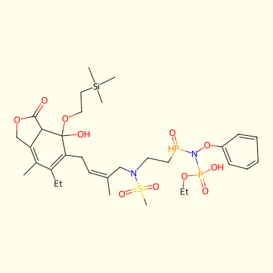 CCOP(=O)(O)N(Oc1ccccc1)[PH](=O)CCN(CC(C)=CCC1=C(CC)C(C)=C2COC(=O)C2C1(O)OCC[Si](C)(C)C)S(C)(=O)=O